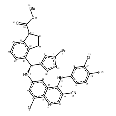 CC(C)n1cc([C@@H](Nc2cc(Cl)c3ncc(C#N)c(Nc4ccc(F)c(Cl)c4)c3c2)c2cccc3c2CCN3C(=O)OC(C)(C)C)nn1